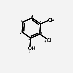 Oc1[c]ccc(Cl)c1Cl